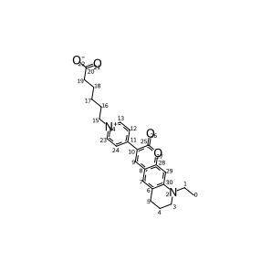 CCN1CCCc2cc3cc(-c4cc[n+](CCCCCC(=O)[O-])cc4)c(=O)oc3cc21